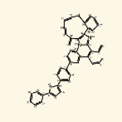 C=Cc1c(/C=C\C)c2cc(-c3ccc(-c4ccc(-c5ccccc5)s4)cc3)ccc2n2c3c(nc12)-c1ccccc1C/C=C\C=C/C3=C